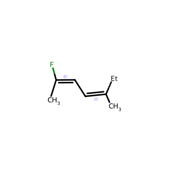 CC/C(C)=C\C=C(/C)F